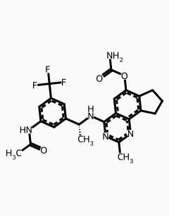 CC(=O)Nc1cc([C@@H](C)Nc2nc(C)nc3c4c(c(OC(N)=O)cc23)CCC4)cc(C(F)(F)F)c1